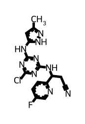 Cc1cc(Nc2nc(Cl)nc(NC(CC#N)c3ccc(F)cn3)n2)[nH]n1